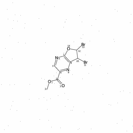 COC(=O)c1cnc2c(n1)C(Br)C(Br)O2